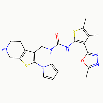 Cc1nnc(-c2c(NC(=O)NCc3c(-n4cccc4)sc4c3CCNC4)sc(C)c2C)o1